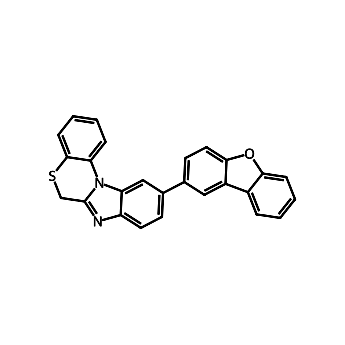 c1ccc2c(c1)SCc1nc3ccc(-c4ccc5oc6ccccc6c5c4)cc3n1-2